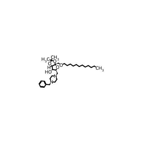 CCCCCCCCCCCCOC[C@@]12O[C@@H](CN3CCN(Cc4ccccc4)CC3)[C@@H](O)[C@@H]1OC(C)(C)O2